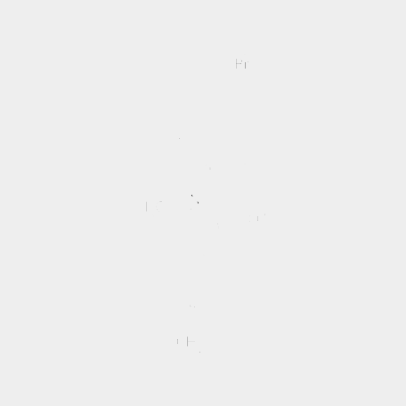 C=C1CC(C(=O)N(C)c2ccc(Br)cc2)C1